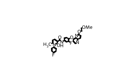 COCCOc1ccc2nccc(Oc3ccc(NC(=O)c4ccc(C)n(-c5ccc(F)cc5)c4=O)cc3F)c2n1